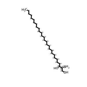 CCCCCCCCCCCCCCCCCCCCCCCCCC[C@@H](O)[C@@H](N)CO